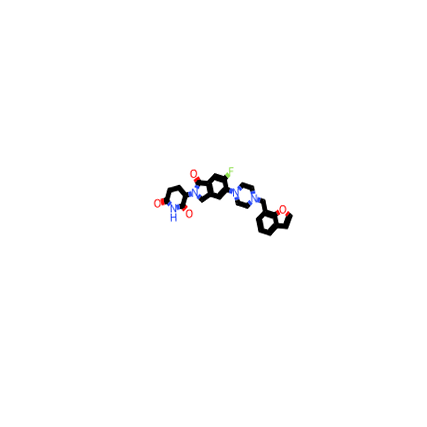 O=C1CCC(N2Cc3cc(N4CCN(Cc5cccc6ccoc56)CC4)c(F)cc3C2=O)C(=O)N1